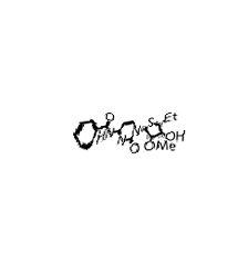 CC[C@H]1S[C@@H](n2ccc(NC(=O)c3ccccc3)nc2=O)[C@H](OC)[C@@H]1O